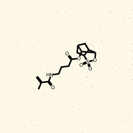 C=C(C)C(=O)NCCCC(=O)OC1C2CC3C1OS(=O)(=O)C3C2